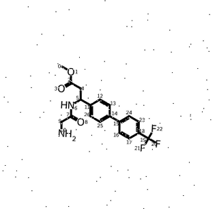 COC(=O)CC(NC(=O)CN)c1ccc(-c2ccc(C(F)(F)F)cc2)cc1